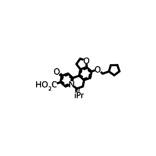 CC(C)[C@@H]1Cc2cc(OCC3CCCC3)c3c(c2-c2cc(=O)c(C(=O)O)cn21)CCO3